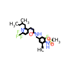 C#Cc1cc(CNC(=O)/C=C\c2ccc(C(F)(F)F)nc2CC(C)CC)cc(F)c1NS(C)(=O)=O